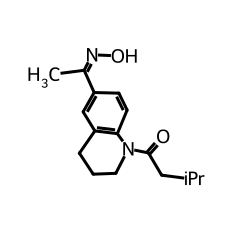 C/C(=N/O)c1ccc2c(c1)CCCN2C(=O)CC(C)C